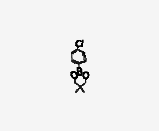 CC1(C)COB(c2ccc(Cl)cc2)OC1